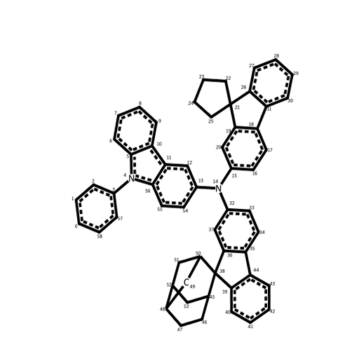 c1ccc(-n2c3ccccc3c3cc(N(c4ccc5c(c4)C4(CCCC4)c4ccccc4-5)c4ccc5c(c4)C4(c6ccccc6-5)C5CCC6CC4CC6C5)ccc32)cc1